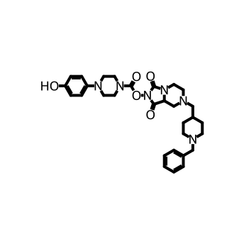 O=C(ON1C(=O)C2CN(CC3CCN(Cc4ccccc4)CC3)CCN2C1=O)N1CCN(c2ccc(O)cc2)CC1